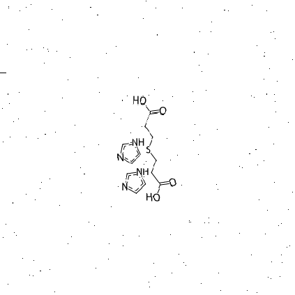 O=C(O)CCSCCC(=O)O.c1c[nH]cn1.c1c[nH]cn1